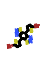 Brc1ccc(-c2c3nnsc3c(-c3ccc(Br)s3)c3nnsc23)s1